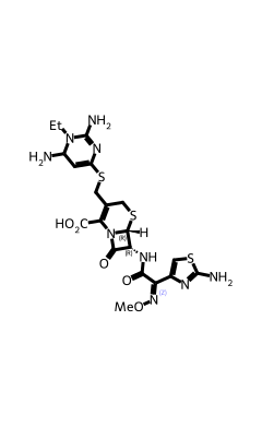 CCN1C(N)=NC(SCC2=C(C(=O)O)N3C(=O)[C@@H](NC(=O)/C(=N\OC)c4csc(N)n4)[C@H]3SC2)=CC1N